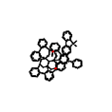 Cc1ccccc1-c1ccccc1C12CCCC34CC(CC5(CC(CC1)c1ccccc1-c1ccccc15)C23)c1ccccc1-c1cccc(-c2ccc(N(c3ccccc3)c3ccc5c(c3)C(C)(C)c3ccccc3-5)cc2)c14